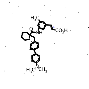 Cc1cc(/C=C/C(=O)O)cc(NC(=O)C2(Cc3ccc(-c4ccc(N(C)C)cc4)cc3)CCCCC2)c1